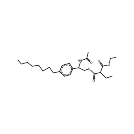 CCCCCCCCc1ccc(C(COC(=O)C(CC)C(=O)OCC)NC(C)=O)cc1